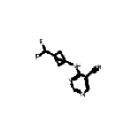 N#Cc1cncnc1NC12CC(C(F)F)(C1)C2